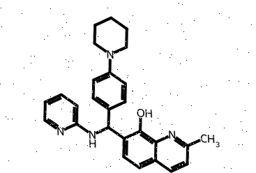 Cc1ccc2ccc(C(Nc3ccccn3)c3ccc(N4CCCCC4)cc3)c(O)c2n1